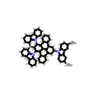 CC(C)(C)c1ccc2c(c1)c1cc(C(C)(C)C)ccc1n2-c1cc2c3ccccc3c3c4c5c(c6c7ccccc7c(c1)c2c36)-n1c2ccccc2c2cccc(c21)B5c1cccc2c3ccccc3n-4c12